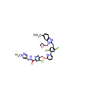 Cn1cc(CNC(=O)c2cc(Cl)c(COc3cccc(-c4cc(F)c(Cc5nc6ccc(C(=O)O)cc6n5CC5CCO5)cc4F)n3)cn2)cn1